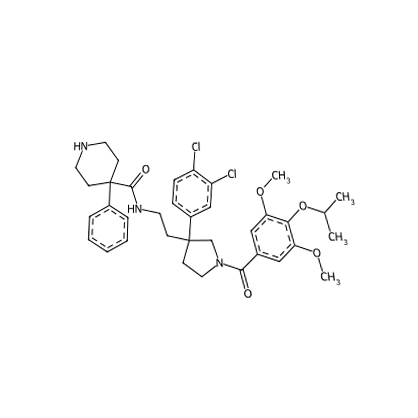 COc1cc(C(=O)N2CCC(CCNC(=O)C3(c4ccccc4)CCNCC3)(c3ccc(Cl)c(Cl)c3)C2)cc(OC)c1OC(C)C